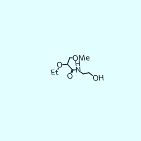 CCOC(COC)C(=O)NCCO